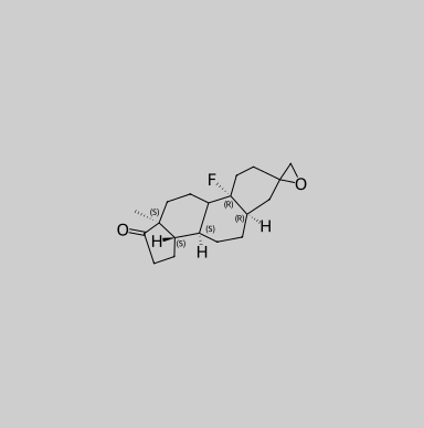 C[C@]12CCC3[C@@H](CC[C@@H]4CC5(CC[C@]34F)CO5)[C@@H]1CCC2=O